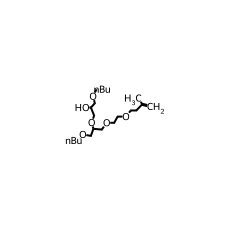 C=C(C)CCOCCOCC(COCCCC)OCC(O)COCCCC